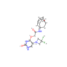 O=C(COc1nc(=O)[nH]cc1N1CC(F)(F)C1)NC12CC3CCC(CC(C3)C1)C2